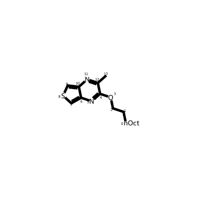 CCCCCCCCCCOc1nc2cscc2nc1C